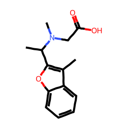 Cc1c(C(C)N(C)CC(=O)O)oc2ccccc12